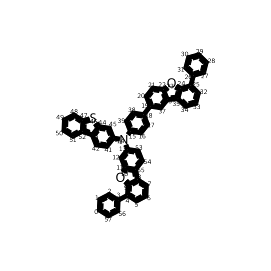 c1ccc(-c2cccc3c2oc2cc(N(c4ccc(-c5ccc6oc7c(-c8ccccc8)cccc7c6c5)cc4)c4ccc5c(c4)sc4ccccc45)ccc23)cc1